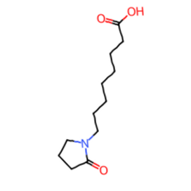 O=C(O)CCCCCCCN1CCCC1=O